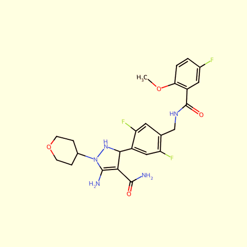 COc1ccc(F)cc1C(=O)NCc1cc(F)c(C2NN(C3CCOCC3)C(N)=C2C(N)=O)cc1F